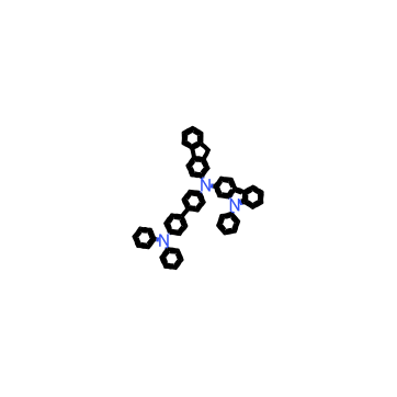 c1ccc(N(c2ccccc2)c2ccc(-c3ccc(N(c4ccc5c(c4)Cc4ccccc4-5)c4ccc5c6ccccc6n(-c6ccccc6)c5c4)cc3)cc2)cc1